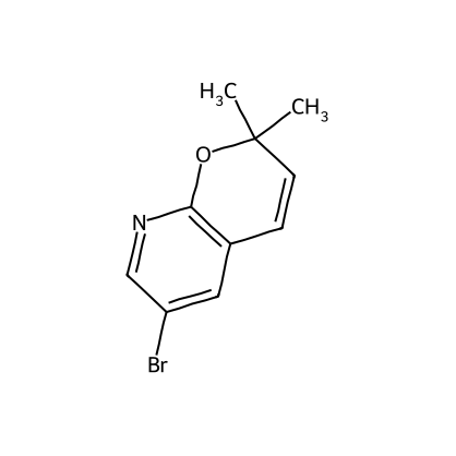 CC1(C)C=Cc2cc(Br)cnc2O1